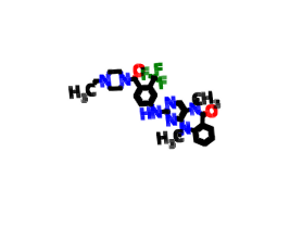 CCN1CCN(C(=O)c2ccc(Nc3ncc4c(n3)N(C)c3ccccc3C(=O)N4C)cc2C(F)(F)F)CC1